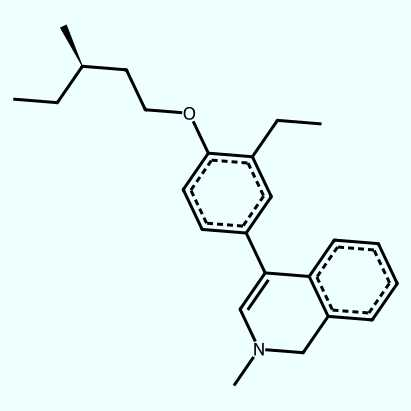 CCc1cc(C2=CN(C)Cc3ccccc32)ccc1OCC[C@H](C)CC